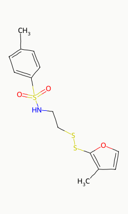 Cc1ccc(S(=O)(=O)NCCSSc2occc2C)cc1